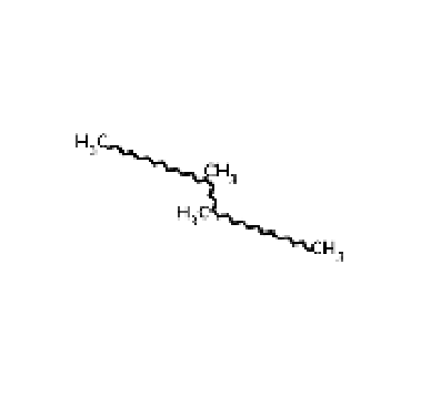 CCCCCCCCCCCCCCC(C)CCCC(C)CCCCCCCCCCCCCC